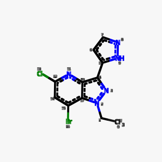 FC(F)(F)Cn1nc(-c2ccn[nH]2)c2nc(Cl)cc(Br)c21